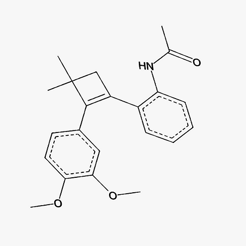 COc1ccc(C2=C(c3ccccc3NC(C)=O)CC2(C)C)cc1OC